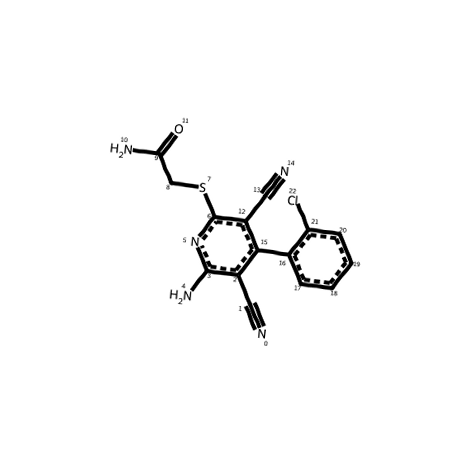 N#Cc1c(N)nc(SCC(N)=O)c(C#N)c1-c1ccccc1Cl